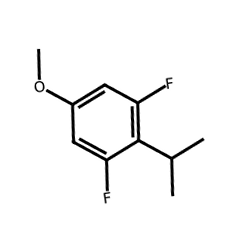 COc1cc(F)c(C(C)C)c(F)c1